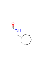 O=[C]NCC1CCCCCC1